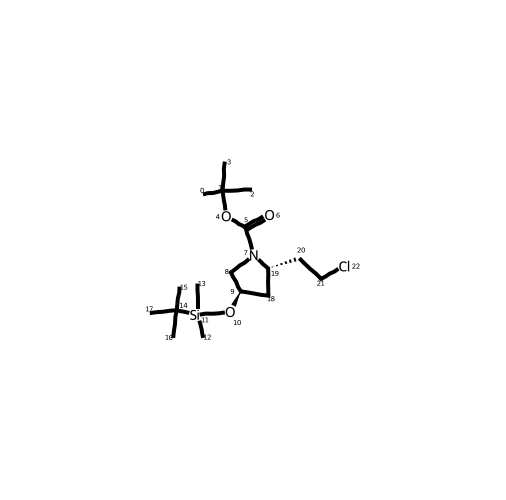 CC(C)(C)OC(=O)N1C[C@H](O[Si](C)(C)C(C)(C)C)C[C@H]1CCCl